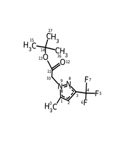 Cc1cc(C(F)(F)F)nn1CC(=O)OC(C)(C)C